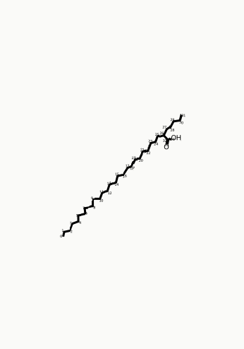 CCCCCCCCCCCCCCCCCCCCCCCCCCC(CCCCC)C(=O)O